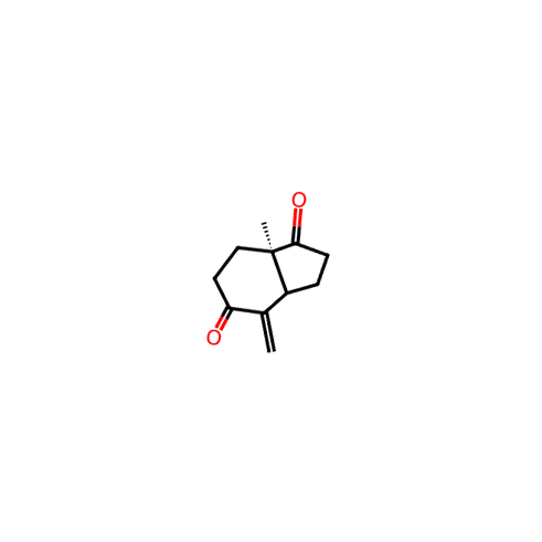 C=C1C(=O)CC[C@@]2(C)C(=O)CCC12